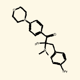 CCCc1ccc(CC(CCC)(C(=O)c2ccc(N3CCOCC3)cc2)N(C)C)cc1